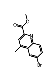 COC(=O)c1cc(C)c2cc(Br)ccc2n1